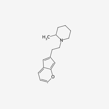 CC1CCCCN1CCc1cc2cc[c]oc-2c1